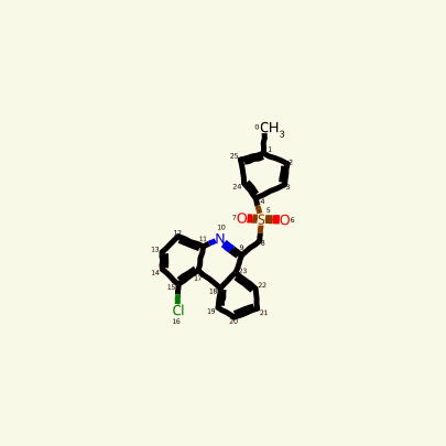 Cc1ccc(S(=O)(=O)Cc2nc3cccc(Cl)c3c3ccccc23)cc1